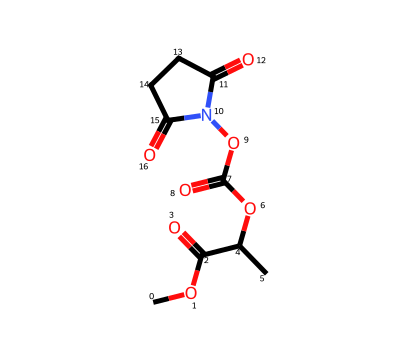 COC(=O)C(C)OC(=O)ON1C(=O)CCC1=O